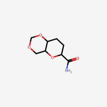 NC(=O)C1CCC2OCOCC2O1